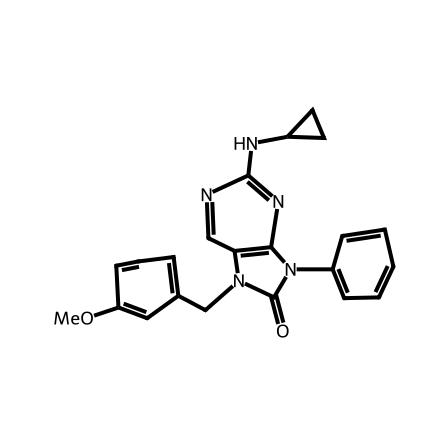 COc1cccc(Cn2c(=O)n(-c3ccccc3)c3nc(NC4CC4)ncc32)c1